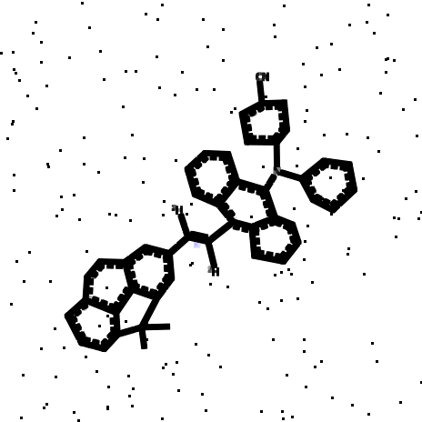 [2H]/C(=C(/[2H])c1c2ccccc2c(N(c2ccccc2)c2ccc(C#N)cc2)c2ccccc12)c1cc2c3c(ccc4cccc(c43)C2(C)C)c1